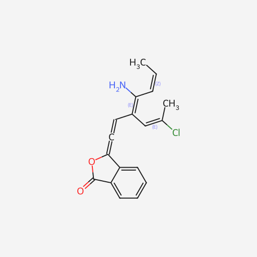 C\C=C/C(N)=C(C=C=C1OC(=O)c2ccccc21)\C=C(/C)Cl